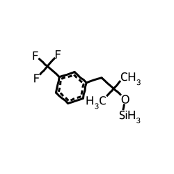 CC(C)(Cc1cccc(C(F)(F)F)c1)O[SiH3]